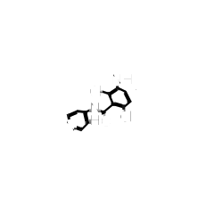 Nc1ccc(Cl)c(C(=O)Nc2ccncc2)c1Cl